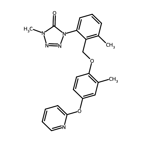 Cc1cc(Oc2ccccn2)ccc1OCc1c(C)cccc1-n1nnn(C)c1=O